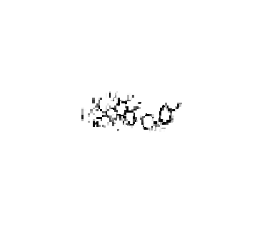 Cc1c(O[Si](C(C)C)(C(C)C)C(C)C)cc2occ(N3CCC(O)(c4ccc(F)cc4)CC3)c(=O)c2c1Br